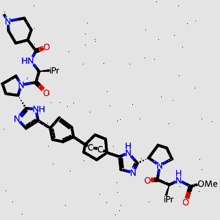 COC(=O)N[C@H](C(=O)N1CCC[C@H]1c1ncc(C23CCC(c4ccc(-c5cnc([C@@H]6CCCN6C(=O)[C@@H](NC(=O)C6CCN(C)CC6)C(C)C)[nH]5)cc4)(CC2)CC3)[nH]1)C(C)C